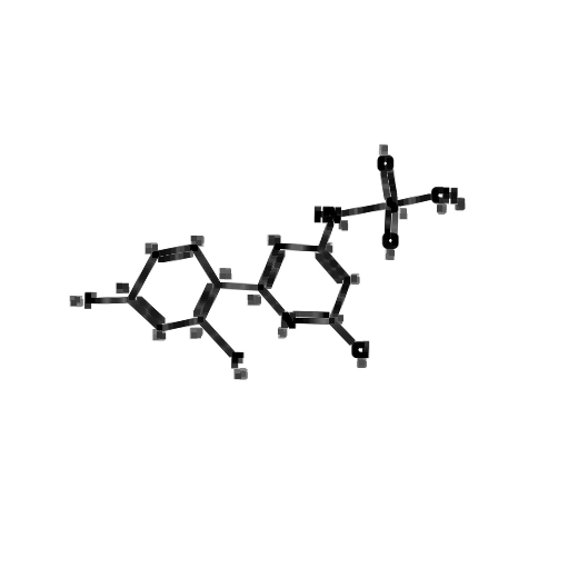 CS(=O)(=O)Nc1cc(Cl)nc(-c2ccc(F)cc2F)c1